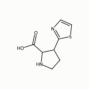 O=C(O)C1NCCC1c1nccs1